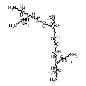 NCCCC(N)C(=O)NCCN(CCNCC(=O)NCCOC(=O)CCC(=O)NCCCCC(NC(=O)CCC(=O)OCCNC(=O)CNCCN(CCNC(=O)C(N)CCCN)CCNC(=O)C(N)CCCN)C(=O)OC[C@H](O)CO)CCNC(=O)C(N)CCCN